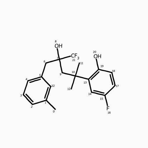 Cc1cccc(CC(O)(CC(C)(C)c2cc(F)ccc2O)C(F)(F)F)c1